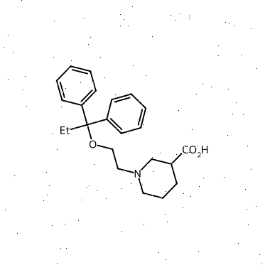 CCC(OCCN1CCCC(C(=O)O)C1)(c1ccccc1)c1ccccc1